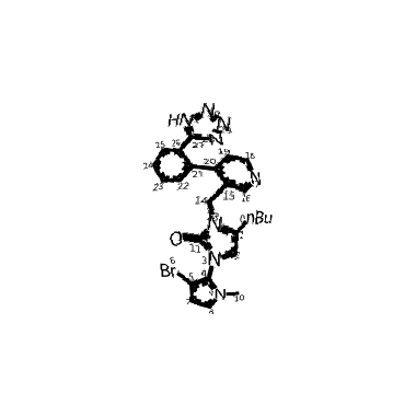 CCCCc1cn(-c2c(Br)ccn2C)c(=O)n1Cc1cnccc1-c1ccccc1-c1nnn[nH]1